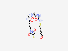 CSC1CC(=O)N(CCCCCC(=O)N[C@@H](C)C(=O)N[C@H](C)C(=O)N[C@@H](C)C(=O)NCSCCCCCC=O)C1=O